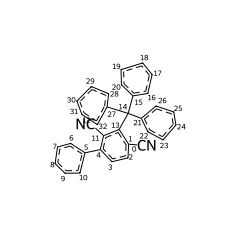 N#Cc1ccc(-c2ccccc2)c(C#N)c1C(c1ccccc1)(c1ccccc1)c1ccccc1